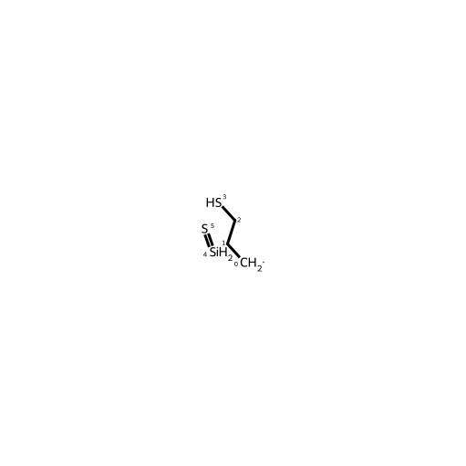 [CH2]CCS.[SiH2]=S